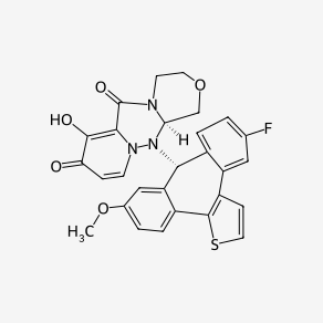 COc1ccc2c(c1)[C@H](N1[C@@H]3COCCN3C(=O)c3c(O)c(=O)ccn31)c1ccc(F)cc1-c1ccsc1-2